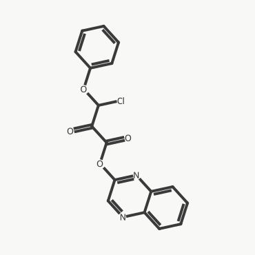 O=C(Oc1cnc2ccccc2n1)C(=O)C(Cl)Oc1ccccc1